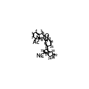 CC(=O)c1cccc(C(C)C(=O)Nc2cc(-c3cc(C#N)n4c3CC(C)(C)C4)ccn2)n1